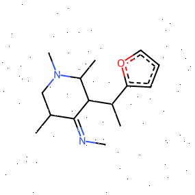 C/N=C1/C(C)CN(C)C(C)C1C(C)c1ccco1